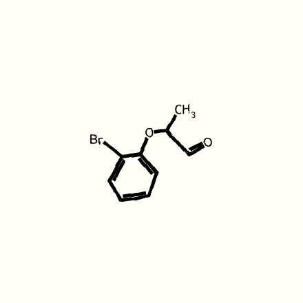 CC(C=O)Oc1ccccc1Br